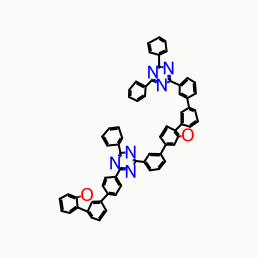 c1ccc(-c2nc(-c3ccc(-c4cccc5c4oc4ccccc45)cc3)nc(-c3cccc(-c4ccc5c(c4)oc4ccc(-c6cccc(-c7nc(-c8ccccc8)nc(-c8ccccc8)n7)c6)cc45)c3)n2)cc1